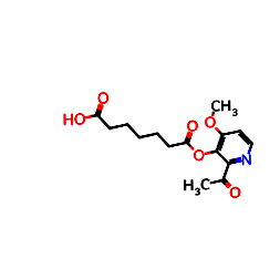 COc1ccnc(C(C)=O)c1OC(=O)CCCCCC(=O)O